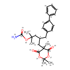 CC(C)(CC(Cc1ccc(-c2ccccc2)cc1)CC1(C)C(=O)OC(C)(C)OC1=O)OC(N)=O